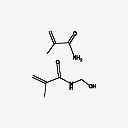 C=C(C)C(=O)NCO.C=C(C)C(N)=O